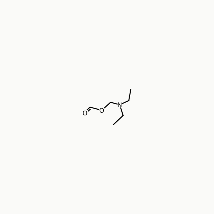 CCN(CC)CO[C]=O